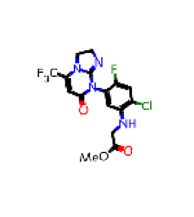 COC(=O)CNc1cc(N2C(=O)C=C(C(F)(F)F)N3CCN=C32)c(F)cc1Cl